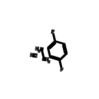 Cl.Fc1ccc(F)cc1.NN